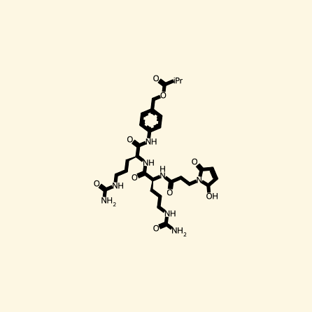 CC(C)C(=O)OCc1ccc(NC(=O)[C@H](CCCNC(N)=O)NC(=O)[C@H](CCCNC(N)=O)NC(=O)CCN2C(=O)C=CC2O)cc1